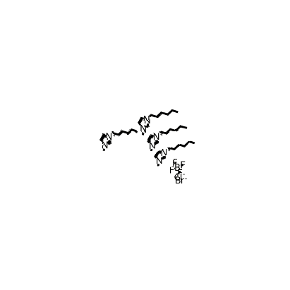 CCCCCCN1C=CN(C)C1.CCCCCC[n+]1ccn(C)c1.CCCCCC[n+]1ccn(C)c1.CCCCCC[n+]1ccn(C)c1.F[B-](F)(F)F.[Br-].[Cl-]